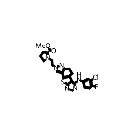 COC(=O)[C@@H]1CCCN1CCn1cc2c(n1)CCc1c-2sc2ncnc(Nc3ccc(F)c(Cl)c3)c12